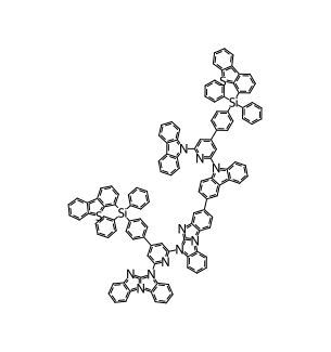 c1ccc([Si](c2ccccc2)(c2ccc(-c3cc(-n4c5ccccc5c5ccccc54)nc(-n4c5ccccc5c5cc(-c6ccc7c(c6)nc6n(-c8cc(-c9ccc([Si](c%10ccccc%10)(c%10ccccc%10)c%10cccc%11c%10sc%10ccccc%10%11)cc9)cc(-n9c%10ccccc%10n%10c%11ccccc%11nc9%10)n8)c8ccccc8n76)ccc54)c3)cc2)c2cccc3c2sc2ccccc23)cc1